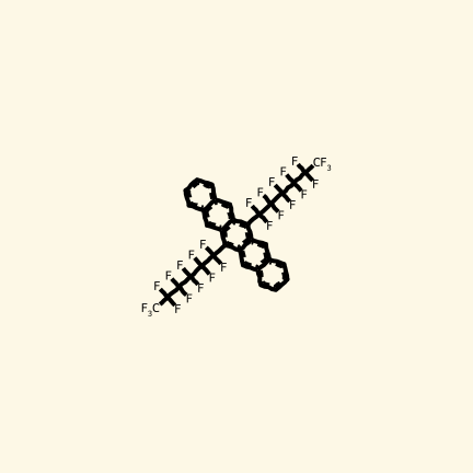 FC(F)(F)C(F)(F)C(F)(F)C(F)(F)C(F)(F)C(F)(F)c1c2cc3ccccc3cc2c(C(F)(F)C(F)(F)C(F)(F)C(F)(F)C(F)(F)C(F)(F)F)c2cc3ccccc3cc12